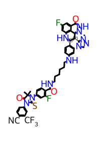 Cn1ncnc1[C@H]1c2n[nH]c(=O)c3cc(F)cc(c23)N[C@@H]1c1ccc(NCCCCCCNC(=O)c2ccc(N3C(=S)N(c4ccc(C#N)c(C(F)(F)F)c4)C(=O)C3(C)C)cc2F)cc1